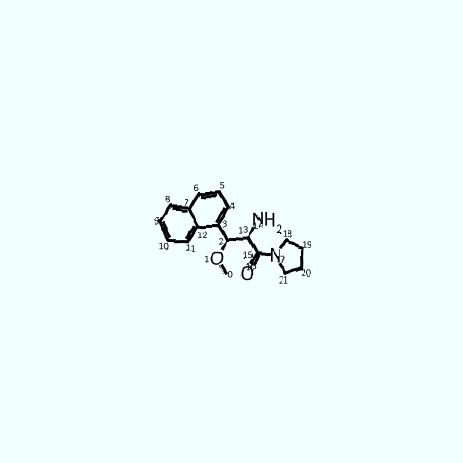 CO[C@@H](c1cccc2ccccc12)[C@@H](N)C(=O)N1CCCC1